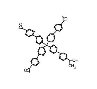 CC(O)c1ccc(-c2ccc(C(c3ccc(-c4ccc(C5CO5)cc4)cc3)(c3ccc(-c4ccc(C5CO5)cc4)cc3)c3ccc(-c4ccc(C5CO5)cc4)cc3)cc2)cc1